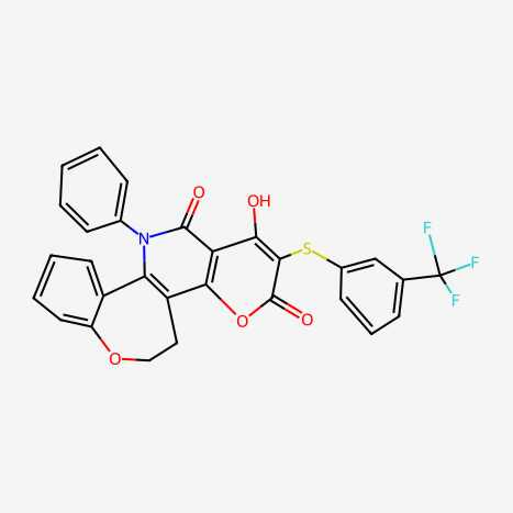 O=c1oc2c3c(n(-c4ccccc4)c(=O)c2c(O)c1Sc1cccc(C(F)(F)F)c1)-c1ccccc1OCC3